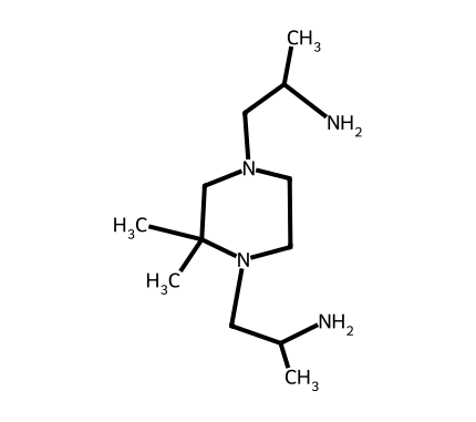 CC(N)CN1CCN(CC(C)N)C(C)(C)C1